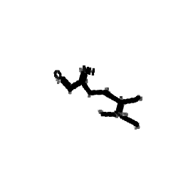 CC(CCC(=N)C=O)N(C)C